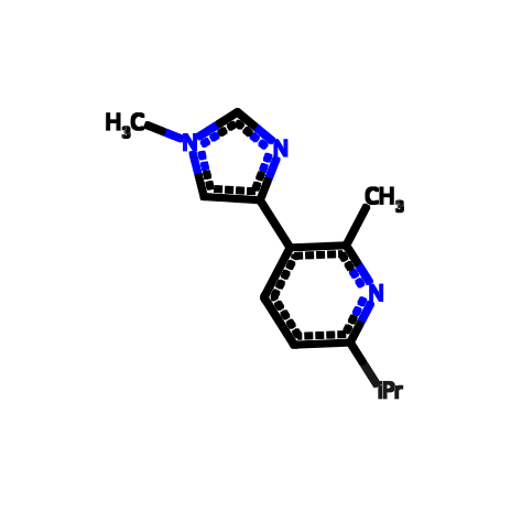 Cc1nc(C(C)C)ccc1-c1cn(C)cn1